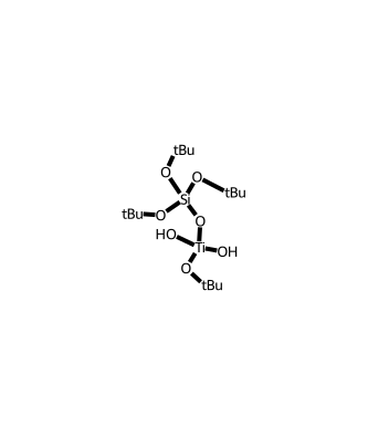 CC(C)(C)O[Si](OC(C)(C)C)(OC(C)(C)C)[O][Ti]([OH])([OH])[O]C(C)(C)C